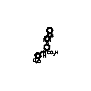 O=C(O)C1(NCc2ccc3c(c2)OCO3)CCN(c2ncc3c4c(sc3n2)CCCC4)CC1